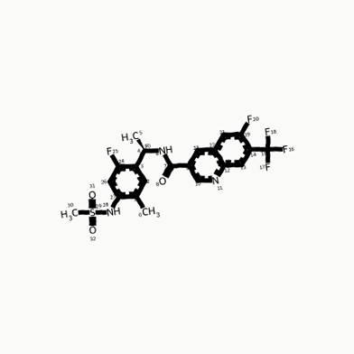 Cc1cc([C@@H](C)NC(=O)c2cnc3cc(C(F)(F)F)c(F)cc3c2)c(F)cc1NS(C)(=O)=O